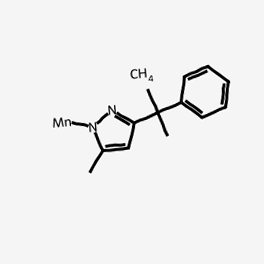 C.Cc1cc(C(C)(C)c2ccccc2)n[n]1[Mn]